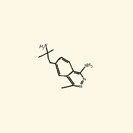 Cc1nnc(N)c2ccc(CC(C)(C)N)cc12